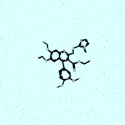 CCOC(=O)c1c(CSc2nccn2C)nc2cc(OCC)c(OCC)cc2c1-c1ccc(OC)c(OC)c1